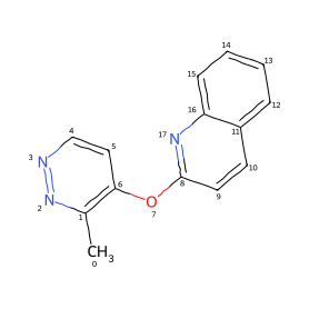 Cc1nnccc1Oc1ccc2ccccc2n1